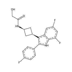 O=C(CO)N[C@H]1C[C@@H](c2c(-c3ccc(F)cc3)[nH]c3c(F)cc(F)cc32)C1